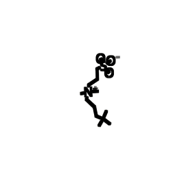 CC(C)(C)CCC[N+](C)(C)CCCS(=O)(=O)[O-]